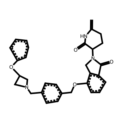 C=C1CCC(N2Cc3c(OCc4ccc(CN5CC(Oc6ccccc6)C5)cc4)cccc3C2=O)C(=O)N1